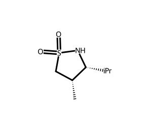 CC(C)[C@H]1NS(=O)(=O)C[C@H]1C